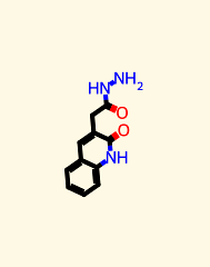 NNC(=O)Cc1cc2ccccc2[nH]c1=O